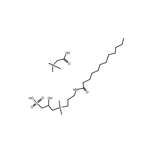 CCCCCCCCCCCC(=O)NCCC[N+](C)(C)CC(O)CS(=O)(=O)O.C[N+](C)(C)CC(=O)O